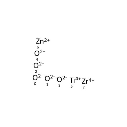 [O-2].[O-2].[O-2].[O-2].[O-2].[Ti+4].[Zn+2].[Zr+4]